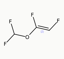 F/C=C(\F)OC(F)F